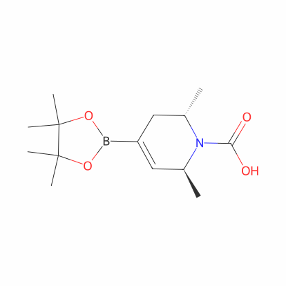 C[C@H]1C=C(B2OC(C)(C)C(C)(C)O2)C[C@H](C)N1C(=O)O